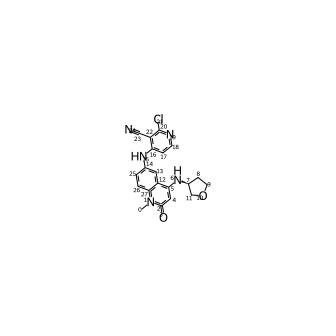 Cn1c(=O)cc(N[C@H]2CCOC2)c2cc(Nc3ccnc(Cl)c3C#N)ccc21